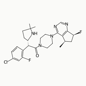 C[C@@H]1C[C@H](F)c2ncnc(N3CCN(C(=O)C(c4ccc(Cl)cc4F)[C@@H]4CCC(C)(C)N4)CC3)c21